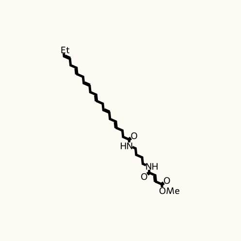 CCC=CCC=CCC=CCC=CCC=CCC=CCCC(=O)NCCCCNC(=O)/C=C/C(=O)OC